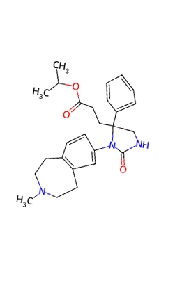 CC(C)OC(=O)CCC1(c2ccccc2)CNC(=O)N1c1ccc2c(c1)CCN(C)CC2